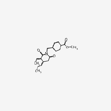 C/C=C1/C(=O)N(CC2CCC(C(=O)OC)CC2)C(=O)C/C1=C/CC